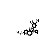 Cc1ccc2c(n1)CCC[C@H]1C2=NN(c2ccc(C#N)c(Cl)c2)C1C1CCCC1